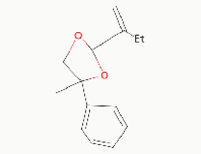 C=C(CC)C1OCC(C)(c2ccccc2)O1